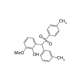 COc1cccc(C(c2cccc(C)c2)S(=O)(=O)c2ccc(C)cc2)c1O